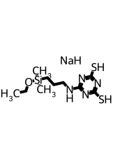 CCO[Si](C)(C)CCCNc1nc(S)nc(S)n1.[NaH]